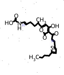 CCCCc1ccc(/C=C/C(=O)c2c(O)cc(C(C)CC/C=C/NC(=O)O)oc2=O)s1